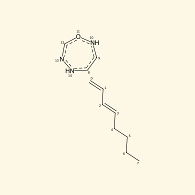 C=CC=CCCCC.c1c[nH]ocn[nH]1